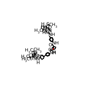 CC(C)(C)OC/N=C(/NCc1ccc(NC(=O)C23CC(C2)[C@H](C(=O)Nc2ccc(C4=CCC(N/C(=N/C(=O)OC(C)(C)C)NC(=O)OC(C)(C)C)CC4)cc2)C3)cc1)NC(=O)OC(C)(C)C